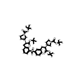 CC(C)(C)OC(=O)C(Cc1cccc(S(=O)(=O)c2cccc(CC(C(=O)OC(C)(C)C)[C@H]3CCN(C(=O)OC(C)(C)C)C3)c2)c1)[C@H]1CCN(C(=O)OC(C)(C)C)C1